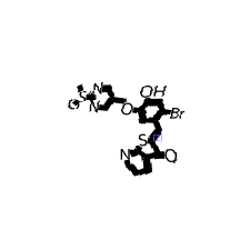 C[S+]([O-])c1ncc(COc2cc(/C=C3\Sc4ncccc4C3=O)c(Br)cc2O)cn1